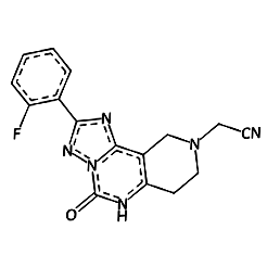 N#CCN1CCc2[nH]c(=O)n3nc(-c4ccccc4F)nc3c2C1